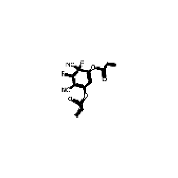 C=CC(=O)OC1=CC(OC(=O)C=C)=C(C#N)C(F)C1(F)C#N